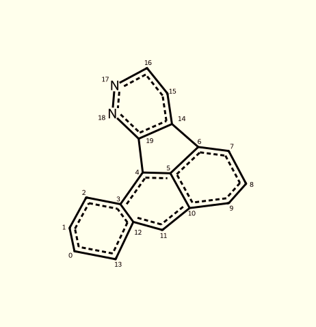 c1ccc2c3c4c(cccc4cc2c1)-c1ccnnc1-3